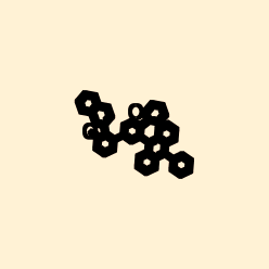 c1ccc(-c2c3ccccc3c(-c3cc(-c4cccc5oc6c7ccccc7ccc6c45)cc4oc5ccccc5c34)c3ccccc23)cc1